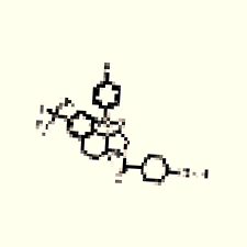 O=C(O)C1CCC(C(=O)N2CC[C@]3(S(=O)(=O)c4ccc(F)cc4)c4ccc(C(F)(C(F)(F)F)C(F)(F)F)cc4CC[C@H]23)CC1